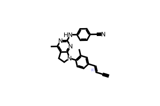 C#C/C=C/c1ccc(N2CCc3c(C)nc(Nc4ccc(C#N)cc4)nc32)c(C)c1